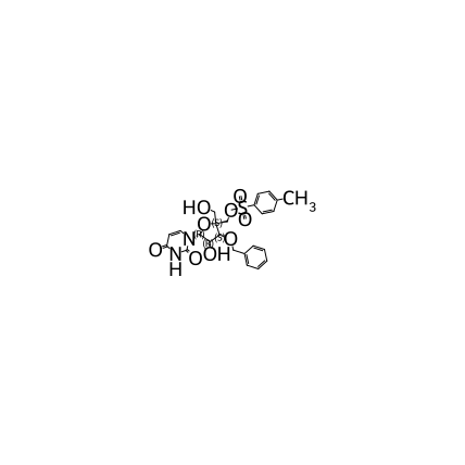 Cc1ccc(S(=O)(=O)OC[C@]2(CO)O[C@@H](n3ccc(=O)[nH]c3=O)[C@H](O)[C@@H]2OCc2ccccc2)cc1